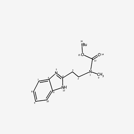 CN(CCc1nc2ccccc2[nH]1)C(=O)OC(C)(C)C